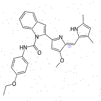 CCOc1ccc(NC(=O)n2c(C3=N/C(=C\c4[nH]c(C)cc4C)C(OC)=C3)cc3ccccc32)cc1